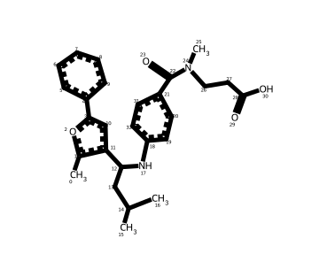 Cc1oc(-c2ccccc2)cc1C(CC(C)C)Nc1ccc(C(=O)N(C)CCC(=O)O)cc1